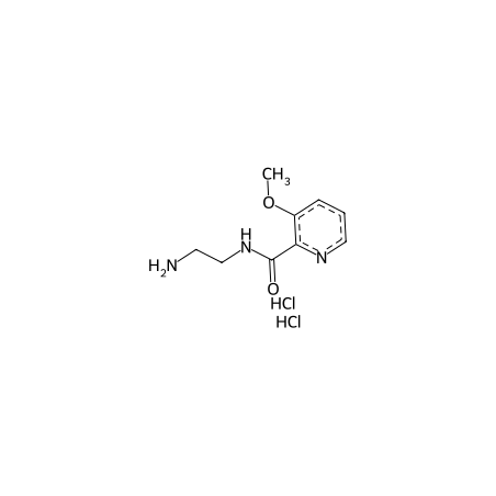 COc1cccnc1C(=O)NCCN.Cl.Cl